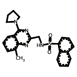 Cc1cccc2c(N3CCCC3)nc(CNS(=O)(=O)c3cccc4ccccc34)nc12